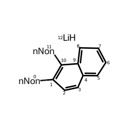 CCCCCCCCCc1ccc2ccccc2c1CCCCCCCCC.[LiH]